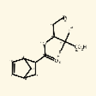 CC(C)CC(OC(=O)C1CC2C=CC1C2)C(F)(F)C(=O)O